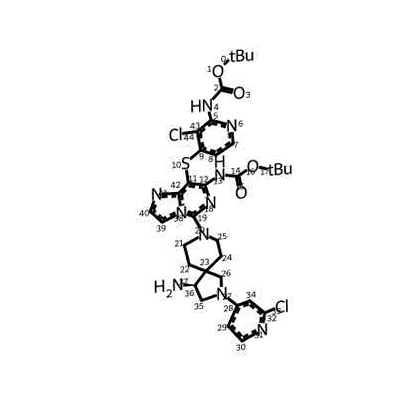 CC(C)(C)OC(=O)Nc1nccc(Sc2c(NC(=O)OC(C)(C)C)nc(N3CCC4(CC3)CN(c3ccnc(Cl)c3)C[C@H]4N)n3ccnc23)c1Cl